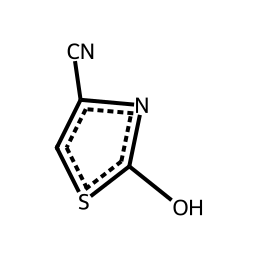 N#Cc1csc(O)n1